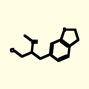 CNC(CCl)Cc1ccc2c(c1)SCC2